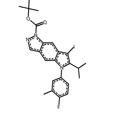 Cc1cc(-n2c(C(C)C)c(I)c3cc4c(cnn4C(=O)OC(C)(C)C)cc32)ccc1F